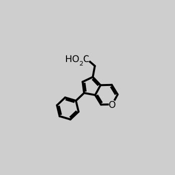 O=C(O)Cc1cc(-c2ccccc2)c2coccc1-2